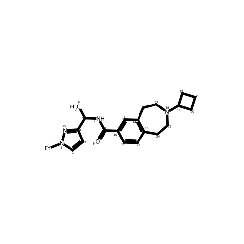 CCn1ccc(C(C)NC(=O)c2ccc3c(c2)CCN(C2CCC2)CC3)n1